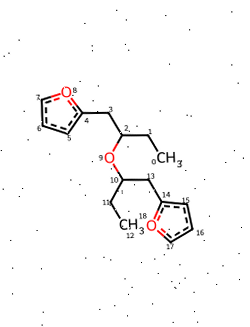 CCC(Cc1ccco1)OC(CC)Cc1ccco1